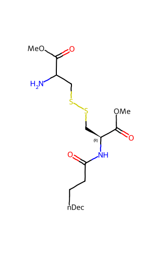 CCCCCCCCCCCCC(=O)N[C@@H](CSSCC(N)C(=O)OC)C(=O)OC